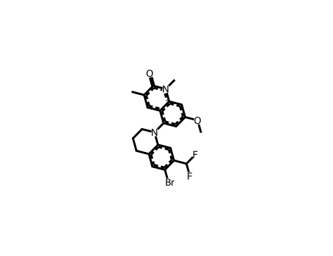 COc1cc(N2CCCc3cc(Br)c(C(F)F)cc32)c2cc(C)c(=O)n(C)c2c1